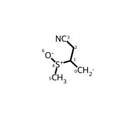 [CH2]C(CC#N)[S+](C)[O-]